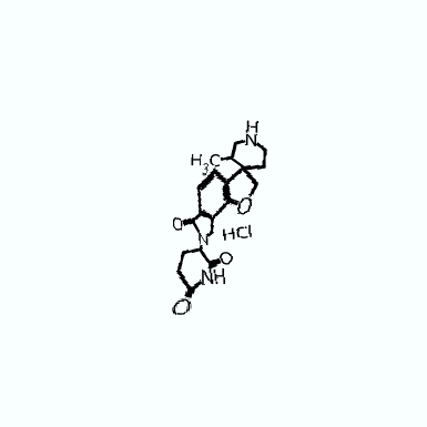 CC1CNCCC12COc1c2ccc2c1CN(C1CCC(=O)NC1=O)C2=O.Cl